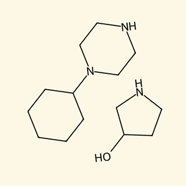 C1CCC(N2CCNCC2)CC1.OC1CCNC1